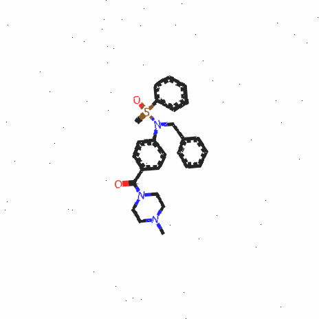 C=S(=O)(c1ccccc1)N(Cc1ccccc1)c1ccc(C(=O)N2CCN(C)CC2)cc1